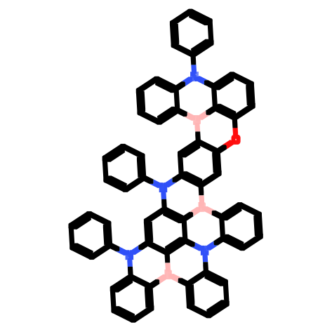 c1ccc(N2c3ccccc3B3c4cc5c(cc4Oc4cccc2c43)B2c3ccccc3N3c4ccccc4B4c6ccccc6N(c6ccccc6)c6cc(c2c3c64)N5c2ccccc2)cc1